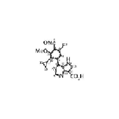 COc1c(F)cc(-c2ncnc3c(C(=O)O)c[nH]c23)c(C2CC2)c1OC